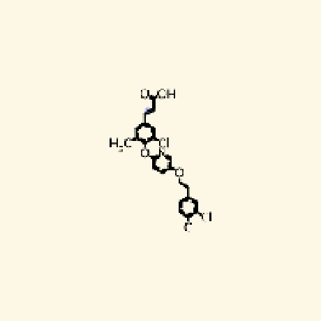 Cc1cc(/C=C/C(=O)O)cc(Cl)c1Oc1ccc(OCCc2ccc(Cl)c(Cl)c2)cn1